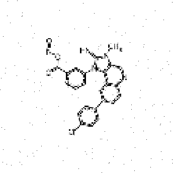 Cn1c(=N)n(-c2ccnc(C(=O)ON=O)c2)c2c3cc(-c4ccc(Cl)cc4)ccc3ncc21